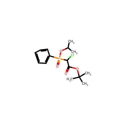 CC(C)OP(=O)(c1ccccc1)C(Cl)C(=O)OC(C)(C)C